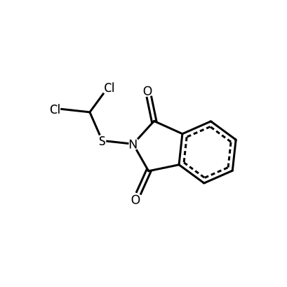 O=C1c2ccccc2C(=O)N1SC(Cl)Cl